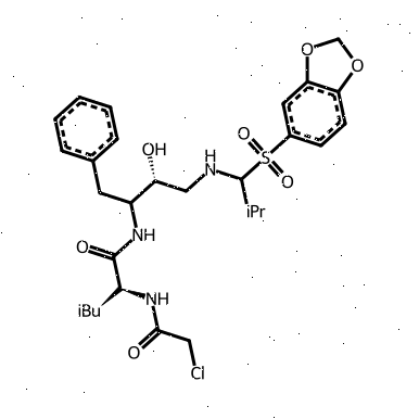 CC[C@H](C)[C@H](NC(=O)CCl)C(=O)NC(Cc1ccccc1)[C@H](O)CNC(C(C)C)S(=O)(=O)c1ccc2c(c1)OCO2